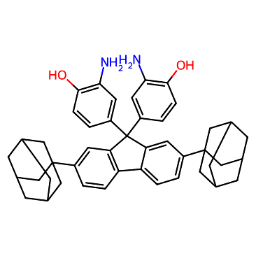 Nc1cc(C2(c3ccc(O)c(N)c3)c3cc(C45CC6CC(CC(C6)C4)C5)ccc3-c3ccc(C45CC6CC(CC(C6)C4)C5)cc32)ccc1O